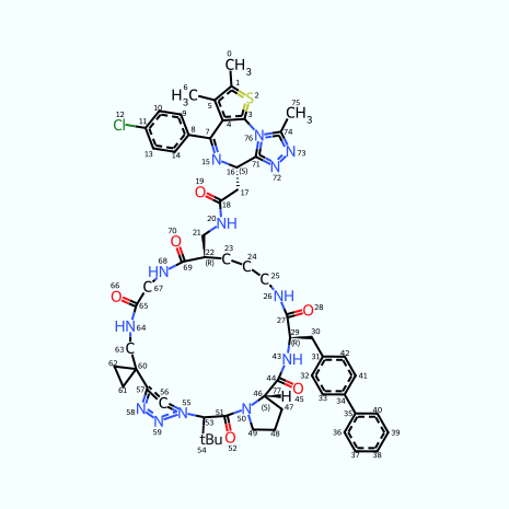 Cc1sc2c(c1C)C(c1ccc(Cl)cc1)=N[C@@H](CC(=O)NC[C@H]1CCCNC(=O)[C@@H](Cc3ccc(-c4ccccc4)cc3)NC(=O)[C@@H]3CCCN3C(=O)C(C(C)(C)C)n3cc(nn3)C3(CC3)CNC(=O)CNC1=O)c1nnc(C)n1-2